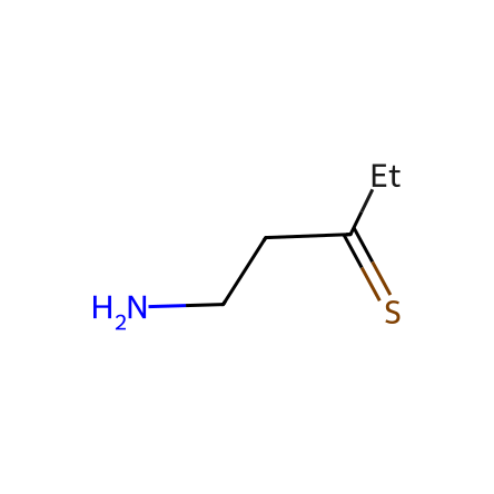 CCC(=S)CCN